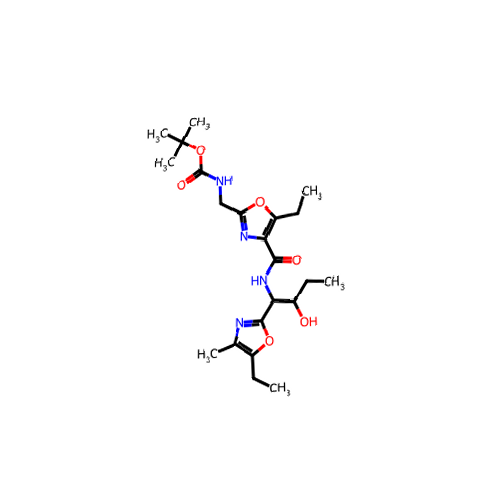 CCc1oc(C(NC(=O)c2nc(CNC(=O)OC(C)(C)C)oc2CC)C(O)CC)nc1C